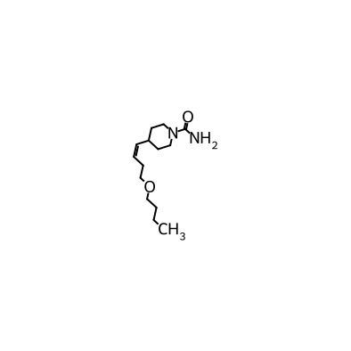 CCCCOCC/C=C\C1CCN(C(N)=O)CC1